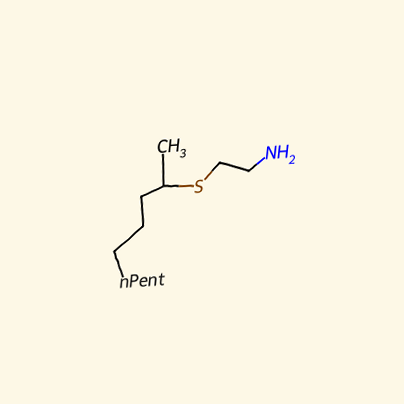 CCCCCCCCC(C)SCCN